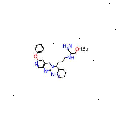 CC(C)(C)OCC(CN)NCCCC(C1CCCCC1)N1Cc2cc(Oc3ccccc3)ncc2N=C1N